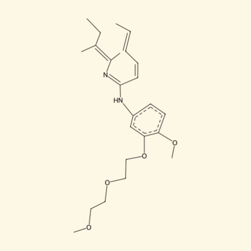 C/C=C/C=C\C(=N/C(C)=C(\C)CC)Nc1ccc(OC)c(OCCOCCOC)c1